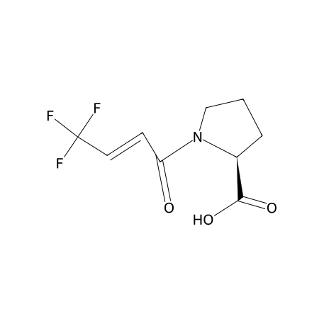 O=C(O)[C@@H]1CCCN1C(=O)C=CC(F)(F)F